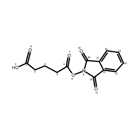 O=C(O)CCCC(=O)ON1C(=O)c2ccccc2C1=O